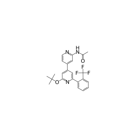 CC(=O)Nc1cc(-c2cc(OC(C)(C)C)nc(-c3ccccc3C(F)(F)F)c2)ccn1